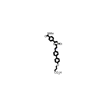 CCn1cc(-c2ccc(C(=O)NC)cc2)nc1/C=C/c1ccc(-c2ccc(OCCCC(=O)O)cc2)cc1